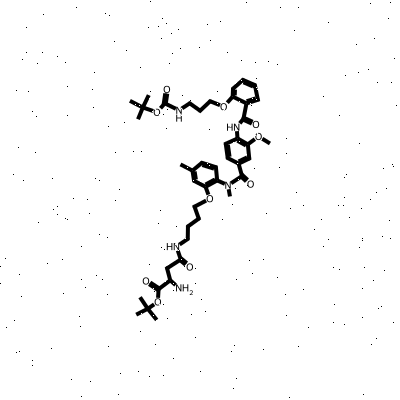 COc1cc(C(=O)N(C)c2ccc(C)cc2OCCCCNC(=O)CC(N)C(=O)OC(C)(C)C)ccc1NC(=O)c1ccccc1OCCCNC(=O)OC(C)(C)C